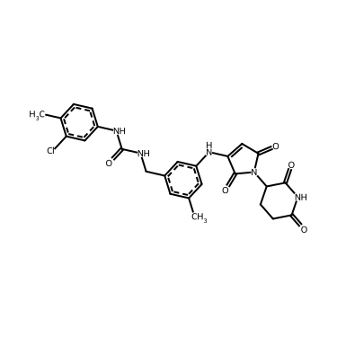 Cc1cc(CNC(=O)Nc2ccc(C)c(Cl)c2)cc(NC2=CC(=O)N(C3CCC(=O)NC3=O)C2=O)c1